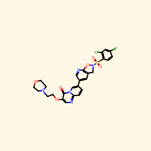 O=c1c(OCCN2CCOCC2)cnc2ccc(-c3cnc4c(c3)CN(S(=O)(=O)c3ccc(F)cc3Cl)O4)cn12